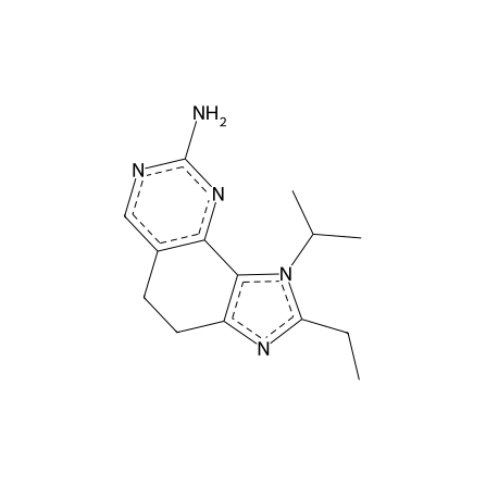 CCc1nc2c(n1C(C)C)-c1nc(N)ncc1CC2